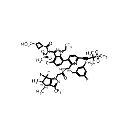 C[C@@H]1c2c(C(F)(F)F)nn(CC(=O)N[C@@H](Cc3cc(F)cc(F)c3)c3nc(C#CC(C)(C)S(C)(=O)=O)ccc3-c3ccc(Cl)c4c(N(C(=O)[C@H]5C[C@@H](C(=O)O)C5)S(C)(=O)=O)nn(CC(F)(F)F)c34)c2C(F)(F)[C@@H]1C